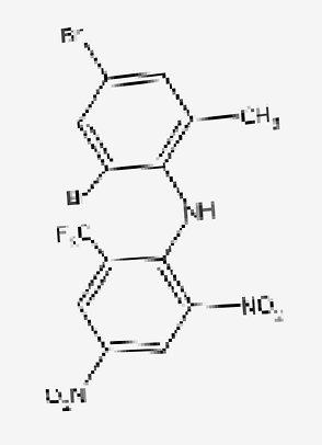 Cc1cc(Br)cc(Br)c1Nc1c([N+](=O)[O-])cc([N+](=O)[O-])cc1C(F)(F)F